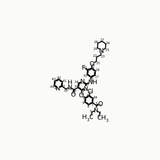 CCN(CC)C(=O)c1ccc(Oc2nc(Nc3ccc(OCCCN4CCCCC4)c(F)c3)ncc2C(=O)NCc2ccccn2)c(Cl)c1